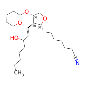 CCCCCC(O)C=C[C@@H]1[C@@H](CCCCCCC#N)OC[C@H]1OC1CCCCO1